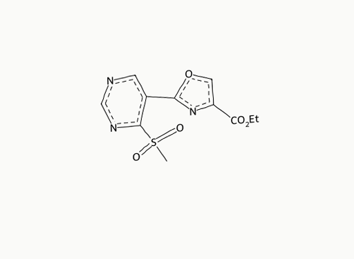 CCOC(=O)c1coc(-c2cncnc2S(C)(=O)=O)n1